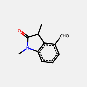 CC1C(=O)N(C)c2cccc(C=O)c21